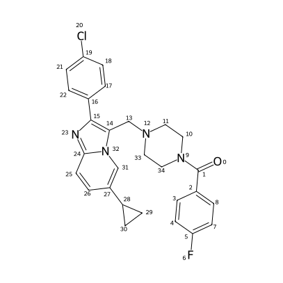 O=C(c1ccc(F)cc1)N1CCN(Cc2c(-c3ccc(Cl)cc3)nc3ccc(C4CC4)cn23)CC1